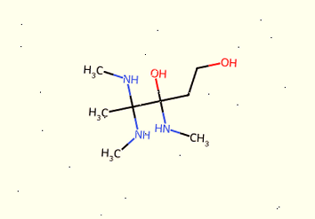 CNC(O)(CCO)C(C)(NC)NC